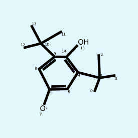 CC(C)(C)c1cc([O])cc(C(C)(C)C)c1O